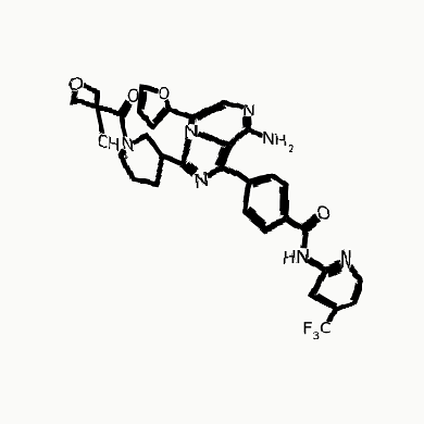 CC1(C(=O)N2CCCC(c3nc(-c4ccc(C(=O)Nc5cc(C(F)(F)F)ccn5)cc4)c4c(N)ncc(-c5ccco5)n34)C2)COC1